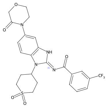 O=C(/N=c1\[nH]c2cc(N3CCOCC3=O)ccc2n1C1CCS(=O)(=O)CC1)c1cccc(C(F)(F)F)c1